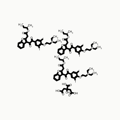 CC[C@H](C)OC(=O)Cc1oc2ccccc2c1C(=O)C(=O)c1cc(I)c(OCCN(CC)CC)c(I)c1.CC[C@H](C)OC(=O)Cc1oc2ccccc2c1C(=O)C(=O)c1cc(I)c(OCCN(CC)CC)c(I)c1.CC[C@H](C)OC(=O)Cc1oc2ccccc2c1C(=O)C(=O)c1cc(I)c(OCCN(CC)CC)c(I)c1.O=C(O)CC(O)(CC(=O)O)C(=O)O